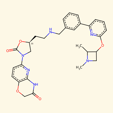 CC1C(Oc2cccc(-c3cccc(CNCC[C@H]4CN(c5ccc6c(n5)NC(=O)CO6)C(=O)O4)c3)n2)CN1C